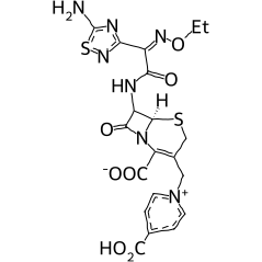 CCO/N=C(\C(=O)NC1C(=O)N2C(C(=O)[O-])=C(C[n+]3ccc(C(=O)O)cc3)CS[C@H]12)c1nsc(N)n1